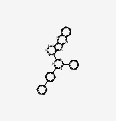 c1ccc(-c2ccc(-c3nc(-c4ccccc4)nc(-c4nnnc5c4sc4nc6ccccc6nc45)n3)cc2)cc1